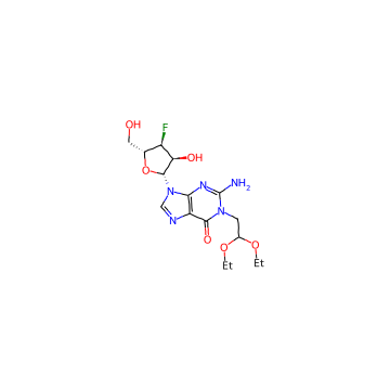 CCOC(Cn1c(N)nc2c(ncn2[C@@H]2O[C@H](CO)[C@@H](F)[C@H]2O)c1=O)OCC